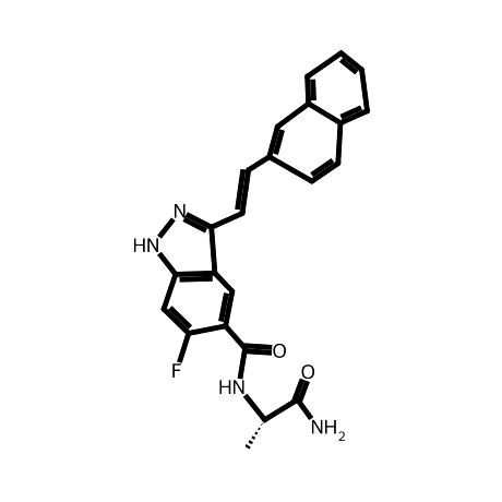 C[C@H](NC(=O)c1cc2c(/C=C/c3ccc4ccccc4c3)n[nH]c2cc1F)C(N)=O